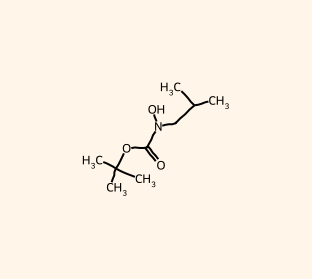 CC(C)CN(O)C(=O)OC(C)(C)C